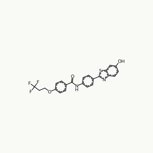 O=C(Nc1ccc(-c2nc3ccc(O)cc3s2)cc1)c1ccc(OCCC(F)(F)F)cc1